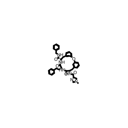 CN1C=NC(C(=O)N[C@H]2Cc3cccc(c3)Oc3cccc(c3)C[C@@H](C(=O)NCc3ccccc3)NC(=O)[C@H](CCc3ccccc3)NC2=O)C1